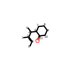 CC=C(C)C(C)C1CCCCC1=O